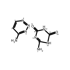 Nc1ccnnn1.Nc1nc(=O)[nH]c(=O)[nH]1